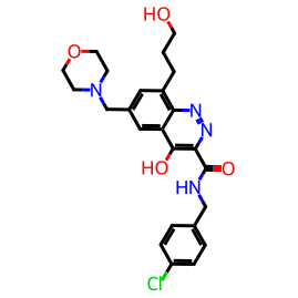 O=C(NCc1ccc(Cl)cc1)c1nnc2c(CCCO)cc(CN3CCOCC3)cc2c1O